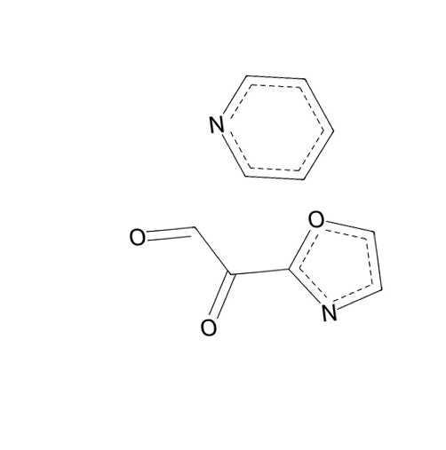 O=CC(=O)c1ncco1.c1ccncc1